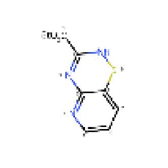 CCOC(=O)C1=Nc2ncccc2SN1